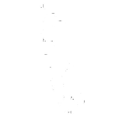 CC(c1cc(Cl)cc(Cl)c1)N1CCC(COc2cc(F)c(C(=O)N3CCCC3[C]=O)cc2C2CC2)CC1